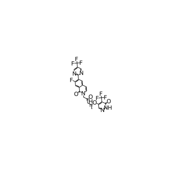 C[C@@H](C[C@@H](O)Cn1ccc2cc(-c3ncc(C(F)(F)F)cn3)c(F)cc2c1=O)Oc1cn[nH]c(=O)c1C(F)(F)F